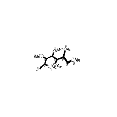 [2H]C(OC(C)=O)C(OC)C(OC)C(OC(C)=O)C(COC)OC(C)=O